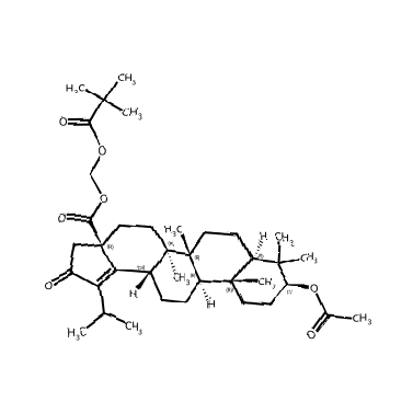 CC(=O)O[C@H]1CC[C@]2(C)[C@H]3CC[C@@H]4C5=C(C(C)C)C(=O)C[C@]5(C(=O)OCOC(=O)C(C)(C)C)CC[C@@]4(C)[C@]3(C)CC[C@H]2C1(C)C